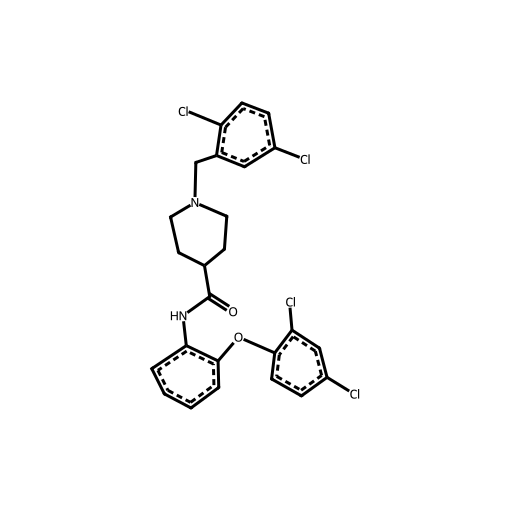 O=C(Nc1ccccc1Oc1ccc(Cl)cc1Cl)C1CCN(Cc2cc(Cl)ccc2Cl)CC1